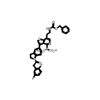 O=C(NCCc1cnc(N(C(=O)O)C(=O)O)c2c(-c3ccc4c(c3)CCN4C(=O)Cc3cc(F)ccc3F)coc12)OCc1ccccc1